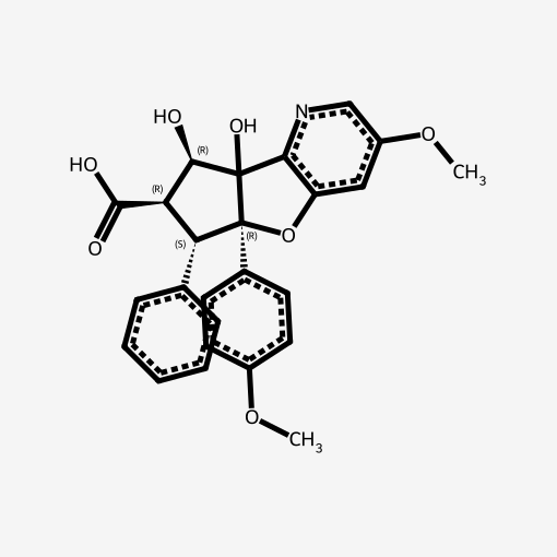 COc1ccc([C@@]23Oc4cc(OC)cnc4C2(O)[C@H](O)[C@H](C(=O)O)[C@H]3c2ccccc2)cc1